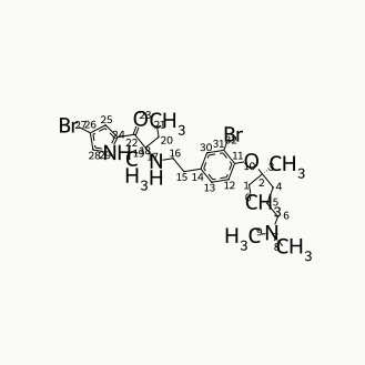 CC[C@](C)(CCCN(C)C)Oc1ccc(CCN[C@](C)(CC)C(=O)c2cc(Br)c[nH]2)cc1Br